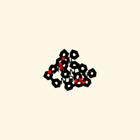 c1ccc(-c2cccc(N3c4cccc(-c5ccccc5)c4B4c5ccc([Si](c6ccccc6)(c6ccccc6)c6ccccc6)cc5N(c5cccc([Si](c6ccccc6)(c6ccccc6)c6ccccc6)c5)c5cc(-n6c7ccccc7c7ccccc76)cc3c54)c2)cc1